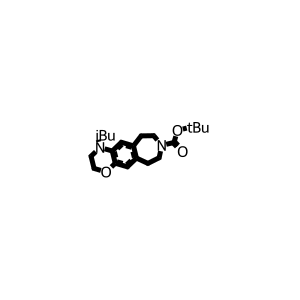 CCC(C)N1CCOc2cc3c(cc21)CCN(C(=O)OC(C)(C)C)CC3